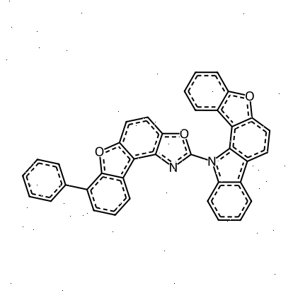 c1ccc(-c2cccc3c2oc2ccc4oc(-n5c6ccccc6c6ccc7oc8ccccc8c7c65)nc4c23)cc1